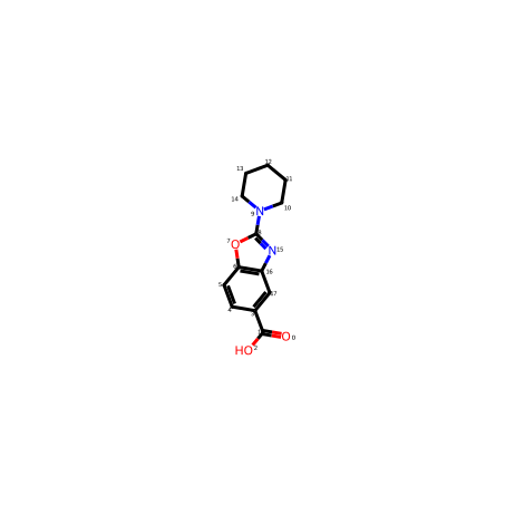 O=C(O)c1ccc2oc(N3CCCCC3)nc2c1